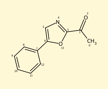 CC(=O)c1ncc(-c2ccccc2)o1